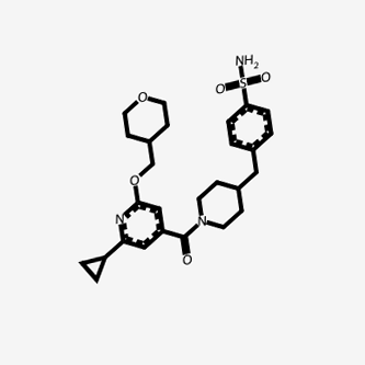 NS(=O)(=O)c1ccc(CC2CCN(C(=O)c3cc(OCC4CCOCC4)nc(C4CC4)c3)CC2)cc1